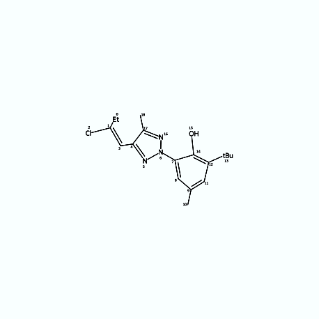 CC/C(Cl)=C\c1nn(-c2cc(C)cc(C(C)(C)C)c2O)nc1C